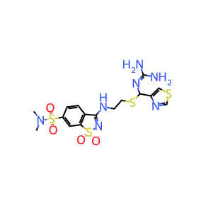 CN(C)S(=O)(=O)c1ccc2c(c1)S(=O)(=O)N=C2NCCSC(N=C(N)N)c1cscn1